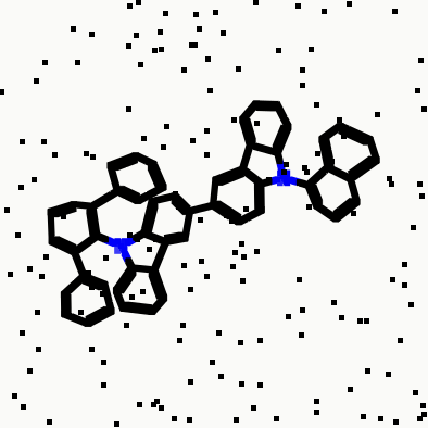 c1ccc(-c2cccc(-c3ccccc3)c2-n2c3ccccc3c3cc(-c4ccc5c(c4)c4ccccc4n5-c4cccc5ccccc45)ccc32)cc1